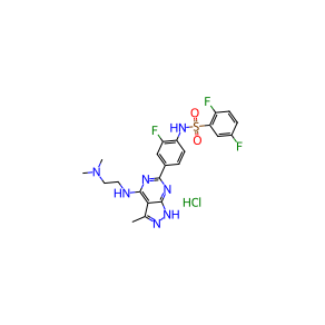 Cc1n[nH]c2nc(-c3ccc(NS(=O)(=O)c4cc(F)ccc4F)c(F)c3)nc(NCCN(C)C)c12.Cl